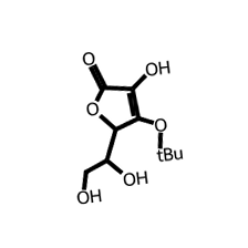 CC(C)(C)OC1=C(O)C(=O)OC1C(O)CO